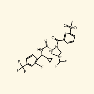 CS(=O)(=O)c1cccc(C(=O)N2C[C@@H](C(F)F)C[C@@H]2C(=O)NC(c2ccc(C(F)(F)F)cc2F)C2CC2)c1